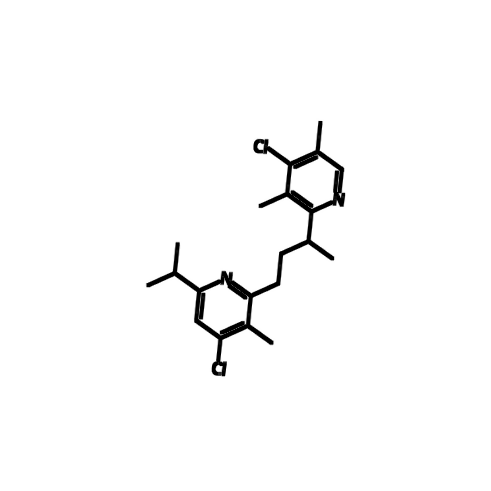 Cc1cnc(C(C)CCc2nc(C(C)C)cc(Cl)c2C)c(C)c1Cl